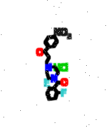 Cl.O=C(CCN1CCN(C(=O)c2c(F)cccc2F)CC1)c1ccc([N+](=O)[O-])cc1